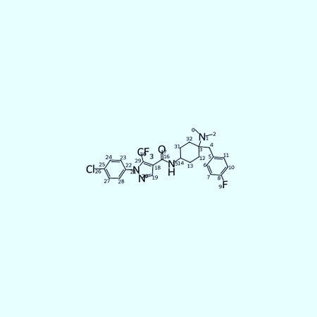 CN(C)C1(Cc2ccc(F)cc2)CCC(NC(=O)c2cnn(-c3ccc(Cl)cc3)c2C(F)(F)F)CC1